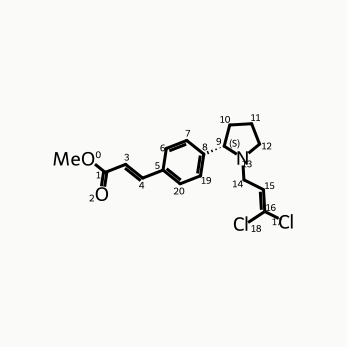 COC(=O)C=Cc1ccc([C@@H]2CCCN2CC=C(Cl)Cl)cc1